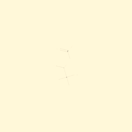 CC(=O)OC(F)C(F)(F)Br